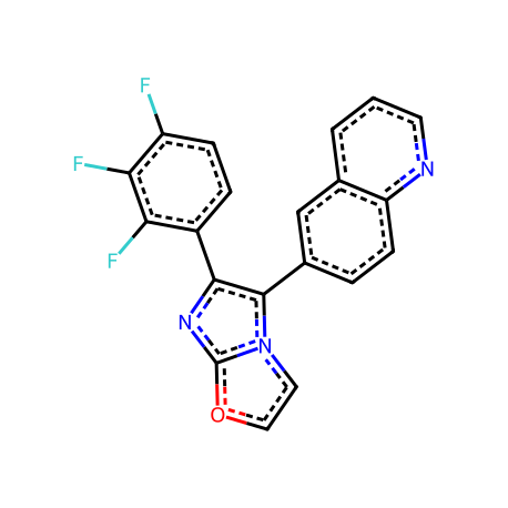 Fc1ccc(-c2nc3occn3c2-c2ccc3ncccc3c2)c(F)c1F